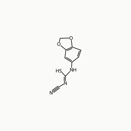 N#CN=C(S)Nc1ccc2c(c1)OCO2